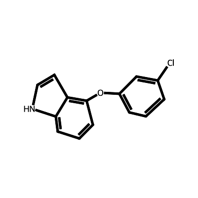 Clc1cccc(Oc2cccc3[nH]ccc23)c1